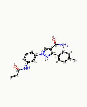 C=CC(=O)Nc1cccc(-n2cc(C(N)=O)c(-c3ccc(C)cc3)n2)c1